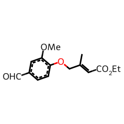 CCOC(=O)/C=C(\C)COc1ccc(C=O)cc1OC